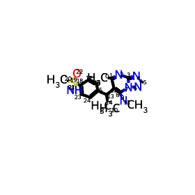 Cc1nc2ncnn2c(N(C)C)c1C(C)c1ccc(S(C)(=N)=O)cc1